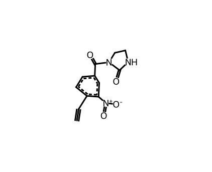 C#Cc1ccc(C(=O)N2CCNC2=O)cc1[N+](=O)[O-]